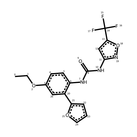 CCOc1ccc(NC(=O)Nc2cc(C(F)(F)F)on2)c(-c2ccco2)c1